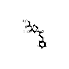 C=CC(=O)N1CCN(C(=O)CCc2ccccc2)CC1C=O